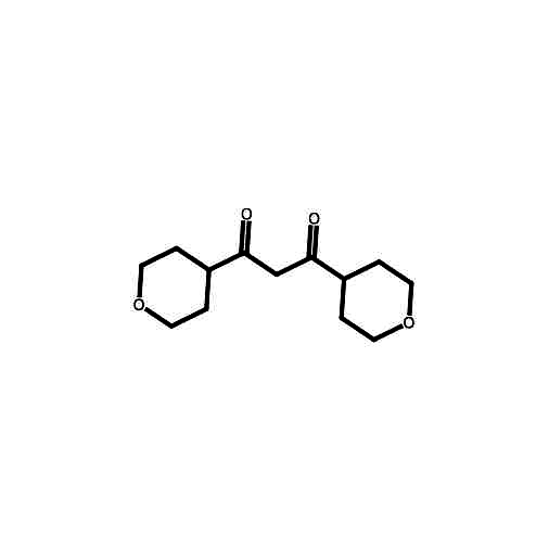 O=C(CC(=O)C1CCOCC1)C1CCOCC1